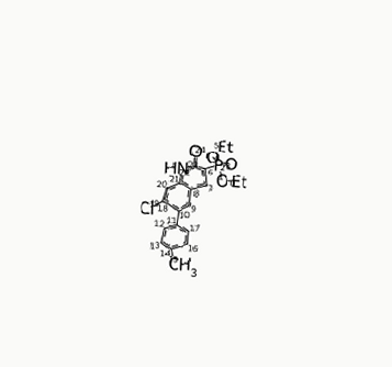 CCOP(=O)(OCC)c1cc2cc(-c3ccc(C)cc3)c(Cl)cc2[nH]c1=O